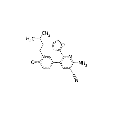 CC(C)CCn1cc(-c2cc(C#N)c(N)nc2-c2ccco2)ccc1=O